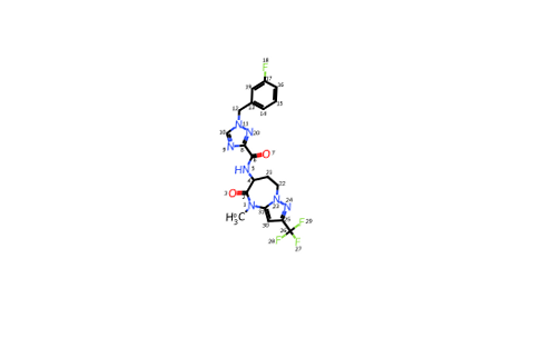 CN1C(=O)C(NC(=O)c2ncn(Cc3cccc(F)c3)n2)CCn2nc(C(F)(F)F)cc21